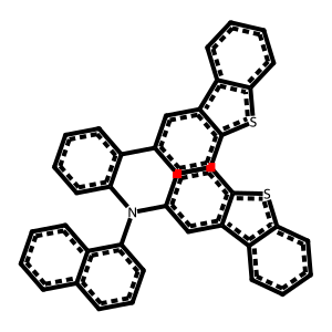 c1ccc(N(c2ccc3sc4ccccc4c3c2)c2cccc3ccccc23)c(-c2ccc3sc4ccccc4c3c2)c1